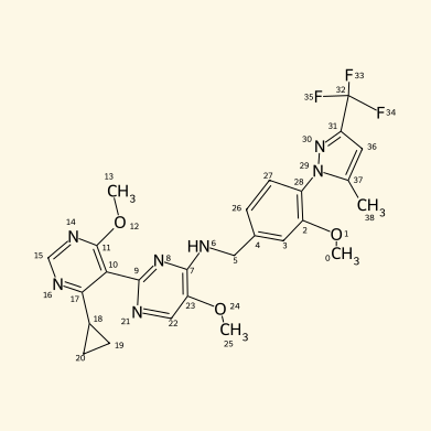 COc1cc(CNc2nc(-c3c(OC)ncnc3C3CC3)ncc2OC)ccc1-n1nc(C(F)(F)F)cc1C